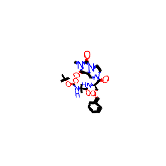 CN1C(=O)C2CN(C(=O)[C@@H](COCc3ccccc3)NC(=O)C(C)(C)NC(=O)OC(C)(C)C)CCN2C1=O